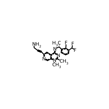 Cc1n/c(=N\[C@H](C)c2cccc(C(F)F)c2F)c2cc(C#CCN)ncc2n1C